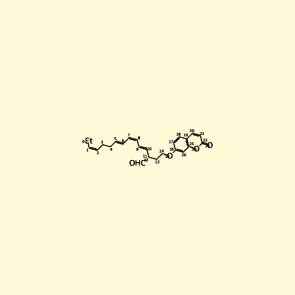 CC/C=C\CC/C=C/C=C\C=C\[C@@H](C=O)CCOc1ccc2ccc(=O)oc2c1